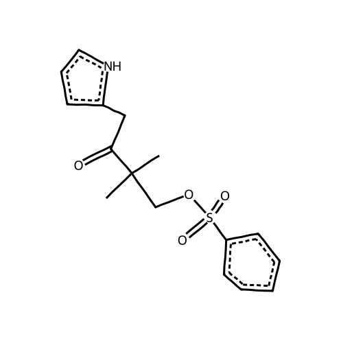 CC(C)(COS(=O)(=O)c1ccccc1)C(=O)Cc1ccc[nH]1